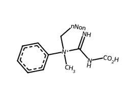 CCCCCCCCCC[N+](C)(C(=N)NC(=O)O)c1ccccc1